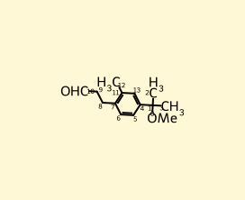 COC(C)(C)c1ccc(CCC=O)c(C)c1